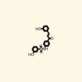 O=C(/C=C/c1cccc(O)c1)c1ccc(NS(=O)(=O)c2cccc(O)c2)cc1